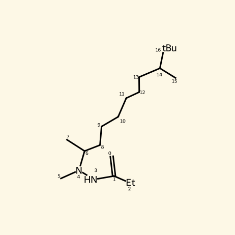 C=C(CC)NN(C)C(C)CCCCCCC(C)C(C)(C)C